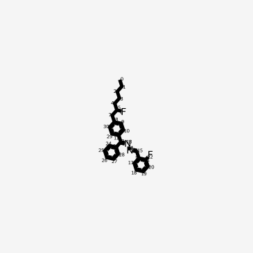 CCCCCC(F)Cc1ccc(C(=NN=Cc2ccccc2F)c2ccccc2)cc1